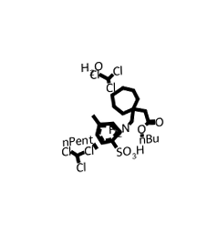 CCCCCC.CCCCOC(=O)CC1(CN)CCCCCC1.Cc1ccc(S(=O)(=O)O)cc1.ClC(Cl)Cl.ClC(Cl)Cl.O